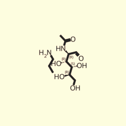 CC(=O)N[C@@H](C=O)[C@@H](O)[C@H](O)[C@H](O)CO.CCCN